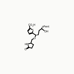 CCCCCC(O)CC[C@@H](OCC1CCC(=O)N1)c1ccc(C(=O)O)s1